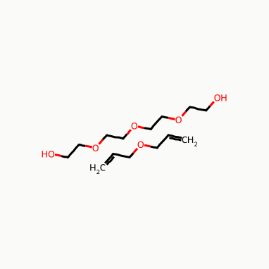 C=CCOCC=C.OCCOCCOCCOCCO